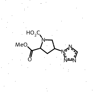 COC(=O)C1CC(n2ncnn2)CN1C(=O)O